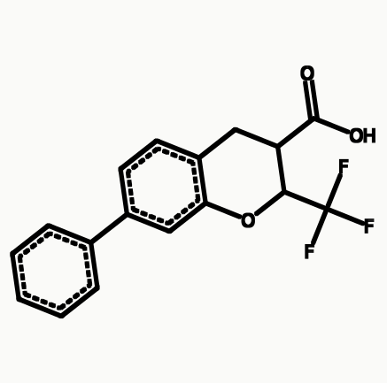 O=C(O)C1Cc2ccc(-c3ccccc3)cc2OC1C(F)(F)F